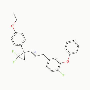 CCOc1ccc(C2(/C=C/Cc3ccc(F)c(Oc4ccccc4)c3)CC2(F)F)cc1